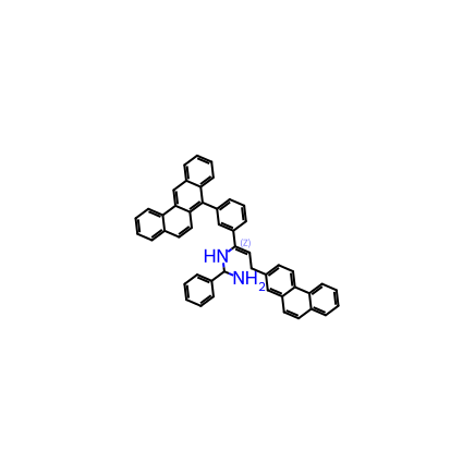 NC(N/C(=C\Cc1ccc2c(ccc3ccccc32)c1)c1cccc(-c2c3ccccc3cc3c2ccc2ccccc23)c1)c1ccccc1